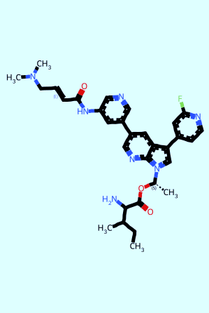 CCC(C)C(N)C(=O)O[C@@H](C)n1cc(-c2ccnc(F)c2)c2cc(-c3cncc(NC(=O)/C=C/CN(C)C)c3)cnc21